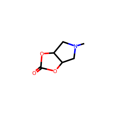 CN1CC2OC(=O)OC2C1